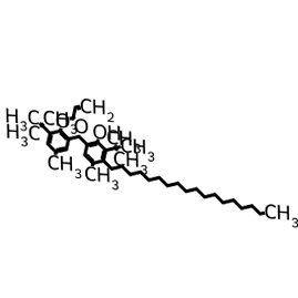 C=CC(=O)Oc1c(Cc2cc(C)c(CCCCCCCCCCCCCCCCCC)c(C(C)(C)C)c2O)cc(C)cc1C(C)(C)C